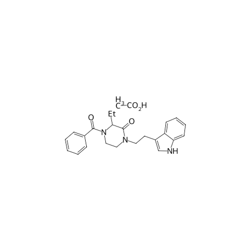 CC(=O)O.CCC1C(=O)N(CCc2c[nH]c3ccccc23)CCN1C(=O)c1ccccc1